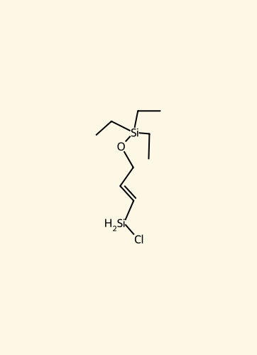 CC[Si](CC)(CC)OCC=C[SiH2]Cl